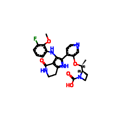 COc1c(F)cccc1Nc1c(-c2ccncc2O[C@H](C)[C@H]2CCN2C(=O)O)[nH]c2c1C(=O)NCC2